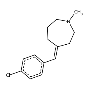 CN1CCC/C(=C\c2ccc(Cl)cc2)CC1